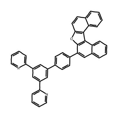 c1ccc(-c2cc(-c3ccc(-c4cc5ccccc5c5c4oc4ccc6ccccc6c45)cc3)cc(-c3ccccn3)c2)nc1